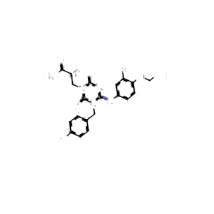 CCOc1ccc(/N=c2\[nH]c(=O)n(C[C@H](C)C(=O)O)c(=O)n2Cc2ccc(C)cc2)cc1Br